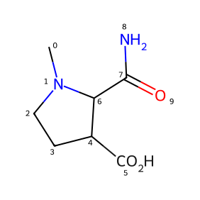 CN1CCC(C(=O)O)C1C(N)=O